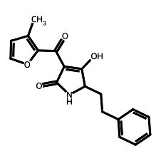 Cc1ccoc1C(=O)C1=C(O)C(CCc2ccccc2)NC1=O